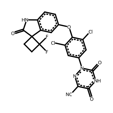 N#Cc1nn(-c2cc(Cl)c(Oc3ccc4c(c3)C3(CCC3(F)F)C(=O)N4)c(Cl)c2)c(=O)[nH]c1=O